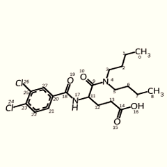 CCCCN(CCCC)C(=O)C(CCC(=O)O)NC(=O)c1ccc(Cl)c(Cl)c1